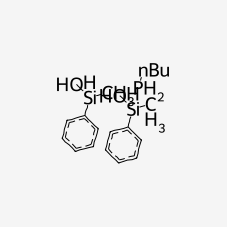 CCCCP.C[SiH](O)c1ccccc1.C[SiH](O)c1ccccc1